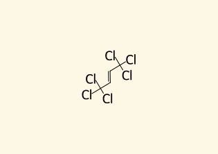 ClC(Cl)(Cl)C=CC(Cl)(Cl)Cl